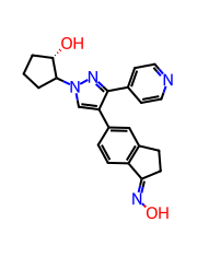 O/N=C1\CCc2cc(-c3cn(C4CCC[C@@H]4O)nc3-c3ccncc3)ccc21